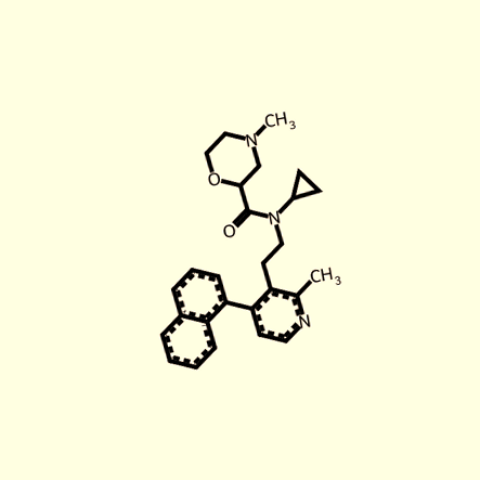 Cc1nccc(-c2cccc3ccccc23)c1CCN(C(=O)C1CN(C)CCO1)C1CC1